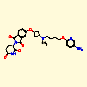 CN(CCCCOc1ccc(N)cn1)[C@H]1C[C@H](Oc2ccc3c(c2)C(=O)N(C2CCC(=O)NC2=O)C3=O)C1